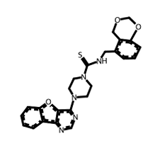 S=C(NCc1cccc2c1COCO2)N1CCN(c2ncnc3c2oc2ccccc23)CC1